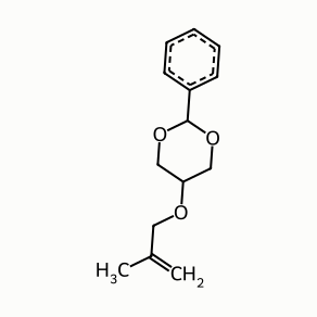 C=C(C)COC1COC(c2ccccc2)OC1